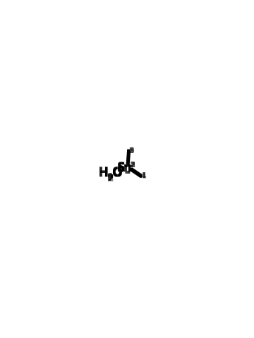 O.[CH3][Sn][CH3]